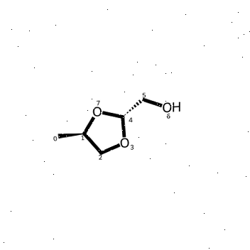 C[C@@H]1CO[C@@H](CO)O1